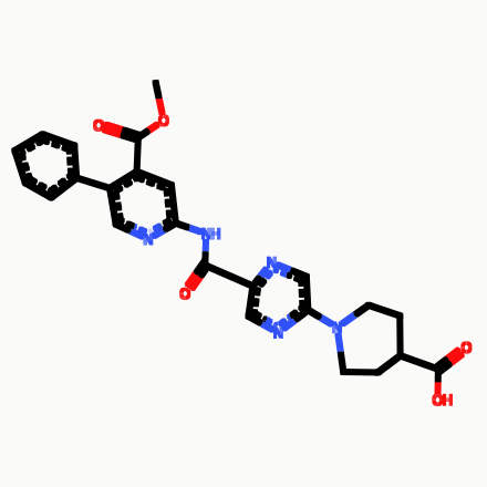 COC(=O)c1cc(NC(=O)c2cnc(N3CCC(C(=O)O)CC3)cn2)ncc1-c1ccccc1